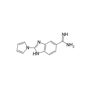 N=C(N)c1ccc2[nH]c(-n3cccc3)nc2c1